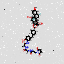 C[C@H](NC(=O)CCN1C(=O)C=CC1=O)C(=O)N[C@@H](C)C(=O)Nc1cc(Cc2ccc([C@@H]3O[C@@H]4C[C@H]5[C@@H]6C[C@H](F)C7=CC(=O)C=C[C@]7(C)[C@@]6(F)[C@@H](O)C[C@]5(C)[C@]4(C(=O)CO)O3)cc2)ccc1O